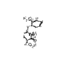 O=C(O)c1ccc(Cc2ccccc2C(F)(F)F)[nH]c1=O